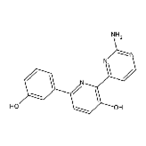 Nc1nccc(-c2nc(-c3cccc(O)c3)ccc2O)n1